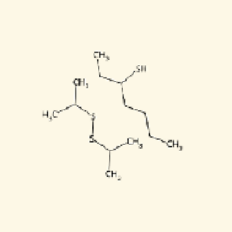 CC(C)SSC(C)C.CCCCC(S)CC